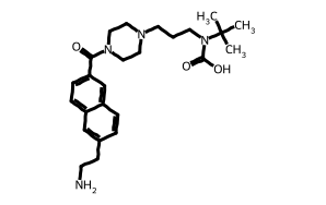 CC(C)(C)N(CCCN1CCN(C(=O)c2ccc3cc(CCN)ccc3c2)CC1)C(=O)O